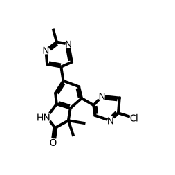 Cc1ncc(-c2cc3c(c(-c4cnc(Cl)cn4)c2)C(C)(C)C(=O)N3)cn1